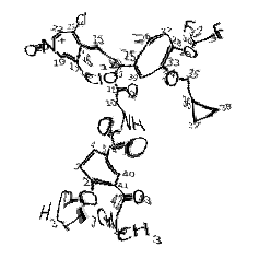 COc1ccc(S(=O)(=O)NCC(=O)O[C@@H](Cc2c(Cl)c[n+]([O-])cc2Cl)c2ccc(OC(F)F)c(OCC3CC3)c2)cc1C(=O)N(C)C